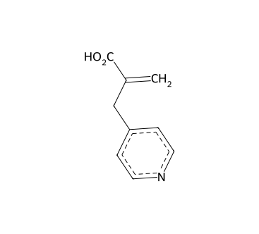 C=C(Cc1ccncc1)C(=O)O